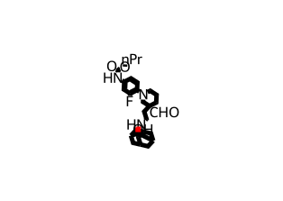 CCCOC(=O)Nc1ccc(N2CCCC(C=O)(CCNC34CC5CC(C3)C(O)C(C5)C4)C2)c(F)c1